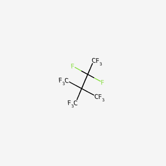 FC(F)(F)C(F)(F)C(C(F)(F)F)(C(F)(F)F)C(F)(F)F